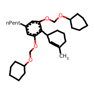 CCCCCc1cc(OCOC2CCCCC2)c(C2C=C(C)CCC2)c(OCOC2CCCCC2)c1